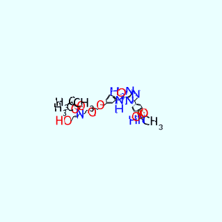 CNS(=O)(=O)c1ccc(-c2cnc(N)c(C(=O)Nc3cccc(COCCOCCN(CCCO)C(=O)OC(C)(C)C)c3)n2)cc1